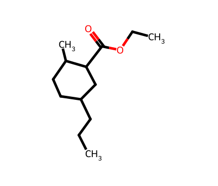 CCCC1CCC(C)C(C(=O)OCC)C1